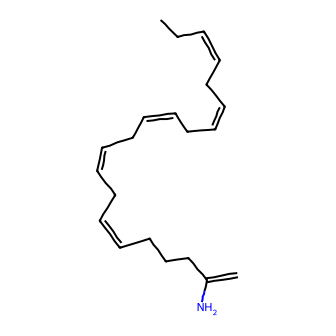 C=C(N)CCC/C=C\C/C=C\C/C=C\C/C=C\C/C=C\CC